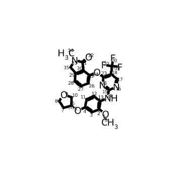 COc1cc(O[C@H]2CCOC2)ccc1Nc1ncc(C(F)(F)F)c(Oc2cccc3c2C(=O)N(C)C3)n1